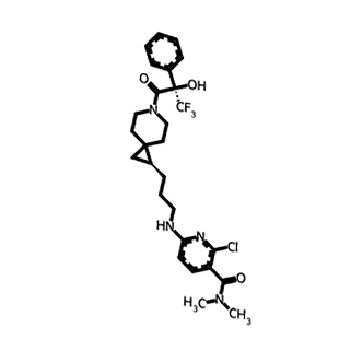 CN(C)C(=O)c1ccc(NCCC[C@H]2CC23CCN(C(=O)[C@](O)(c2ccccc2)C(F)(F)F)CC3)nc1Cl